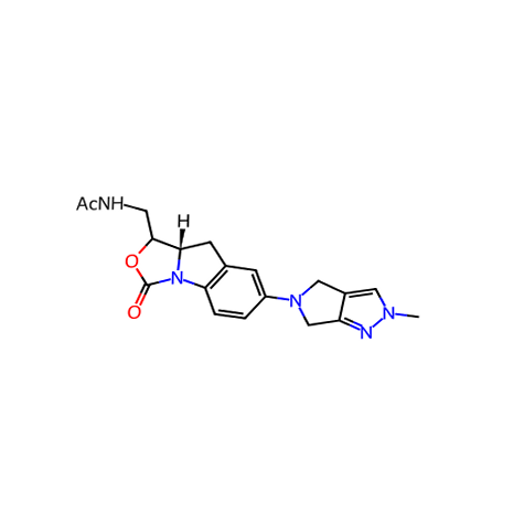 CC(=O)NCC1OC(=O)N2c3ccc(N4Cc5cn(C)nc5C4)cc3C[C@@H]12